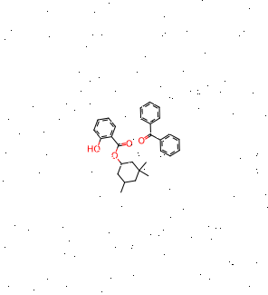 CC1CC(OC(=O)c2ccccc2O)CC(C)(C)C1.O=C(c1ccccc1)c1ccccc1